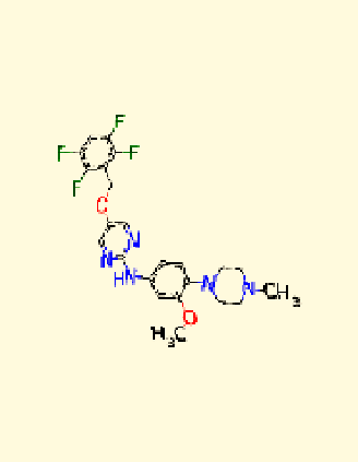 COc1cc(Nc2ncc(OCc3c(F)c(F)cc(F)c3F)cn2)ccc1N1CCN(C)CC1